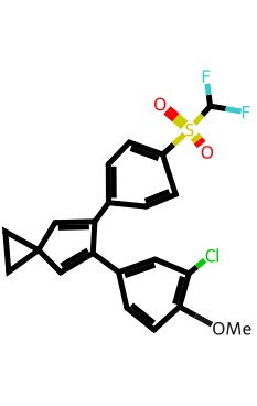 COc1ccc(C2=CC3(C=C2c2ccc(S(=O)(=O)C(F)F)cc2)CC3)cc1Cl